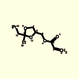 C=CC(=O)OCC1COC(CC)(CC(C)C)O1